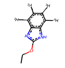 [2H]c1c([2H])c([2H])c2[nH]c(OCC)nc2c1[2H]